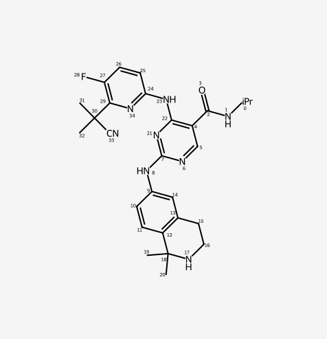 CC(C)NC(=O)c1cnc(Nc2ccc3c(c2)CCNC3(C)C)nc1Nc1ccc(F)c(C(C)(C)C#N)n1